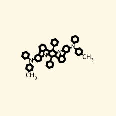 Cc1ccc(N(c2ccccc2)c2ccc3c(c2)c2cccc4c5c(-c6ccccc6)c6c(c(-c7ccccc7)c5n3c24)c2cccc3c4cc(N(c5ccccc5)c5ccc(C)cc5)ccc4n6c32)cc1